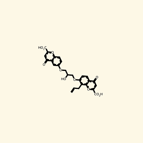 C=CCc1c(OCC(O)COc2ccc3oc(C(=O)O)cc(=O)c3c2)ccc2c(=O)cc(C(=O)O)oc12